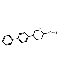 CCCCCC1CCC(c2ccc(-c3ccccc3)cc2)CO1